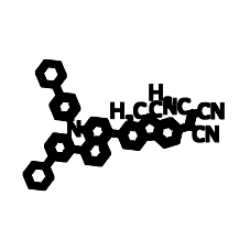 CC1(C)c2cc(C(C#N)=C(C#N)C#N)ccc2-c2ccc(-c3ccc4c5c(cccc35)-c3cc(C5CCCCC5)ccc3N4c3ccc(C4CCCCC4)cc3)cc21